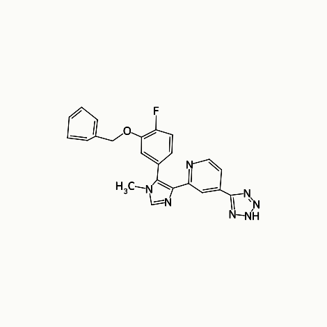 Cn1cnc(-c2cc(-c3nn[nH]n3)ccn2)c1-c1ccc(F)c(OCc2ccccc2)c1